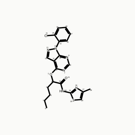 CCCCC(Oc1ncnc2c1cnn2-c1ccccc1Cl)C(=O)Nc1nc(C)cs1